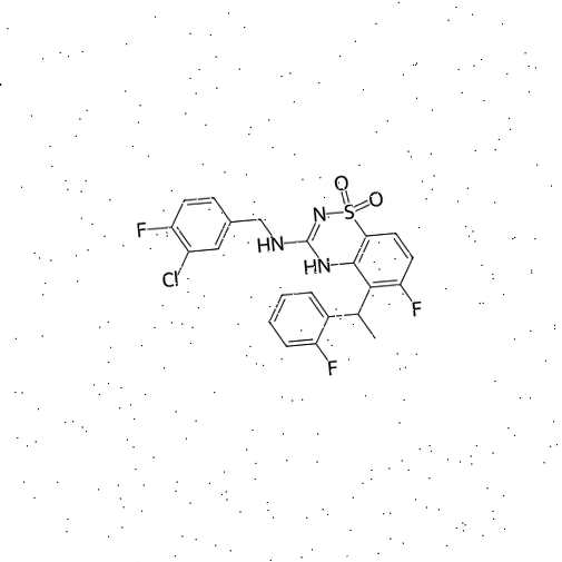 CC(c1ccccc1F)c1c(F)ccc2c1NC(NCc1ccc(F)c(Cl)c1)=NS2(=O)=O